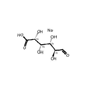 O=C[C@@H](O)[C@@H](O)[C@H](O)[C@@H](O)C(=O)O.[Na]